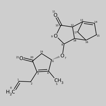 C=CCC1=C(C)[C@@H](OC2OC(=O)C3C4=CCC(C4)C23)CC1=O